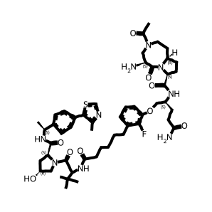 CC(=O)N1CC[C@H]2CC[C@@H](C(=O)N[C@@H](CCC(N)=O)COc3cccc(CCCCCC(=O)NC(C(=O)N4C[C@H](O)C[C@H]4C(=O)N[C@@H](C)c4ccc(-c5scnc5C)cc4)C(C)(C)C)c3F)N2C(=O)[C@@H](N)C1